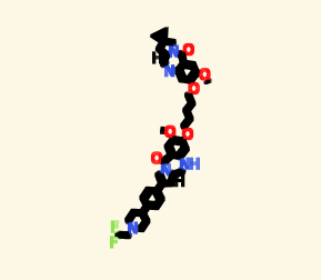 COc1cc2c(cc1OCCCCCOc1cc3c(cc1OC)C(=O)N1C=C(c4ccc(C5CCN(CC(F)F)CC5)cc4)C[C@H]1CN3)N=C[C@@H]1CC3(CC3)CN1C2=O